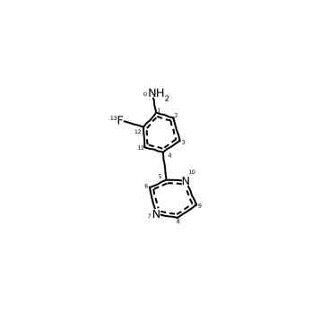 Nc1ccc(-c2cnccn2)cc1F